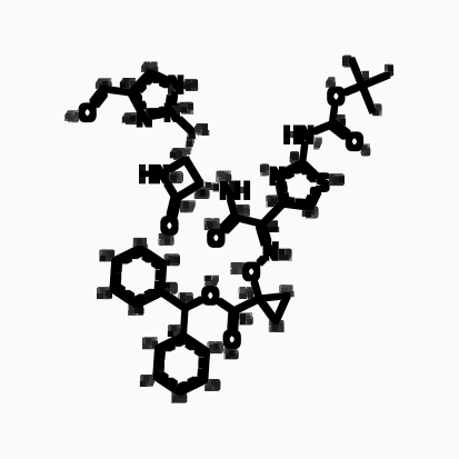 CC(C)(C)OC(=O)Nc1nc(/C(=N/OC2(C(=O)OC(c3ccccc3)c3ccccc3)CC2)C(=O)N[C@@H]2C(=O)N[C@@H]2Cn2ncc(C=O)n2)cs1